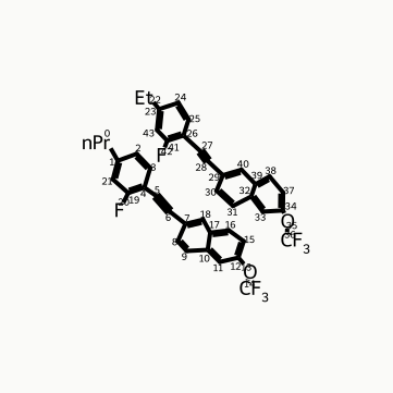 CCCc1ccc(C#Cc2ccc3cc(OC(F)(F)F)ccc3c2)c(F)c1.CCc1ccc(C#Cc2ccc3cc(OC(F)(F)F)ccc3c2)c(F)c1